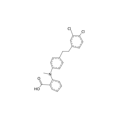 CN(c1ccc(CCc2ccc(Cl)c(Cl)c2)cc1)c1ccccc1C(=O)O